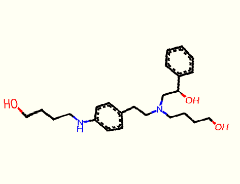 OCCCCNc1ccc(CCN(CCCCO)C[C@H](O)c2ccccc2)cc1